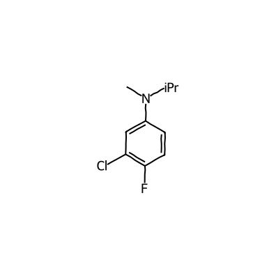 CC(C)N(C)c1ccc(F)c(Cl)c1